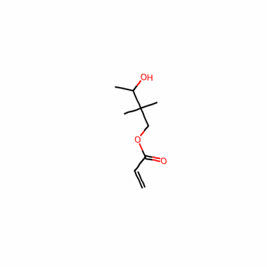 C=CC(=O)OCC(C)(C)C(C)O